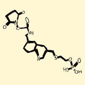 O=C(NCc1ccc2ncc(CSCCOP(=O)(O)O)cc2c1)ON1C(=O)CCC1=O